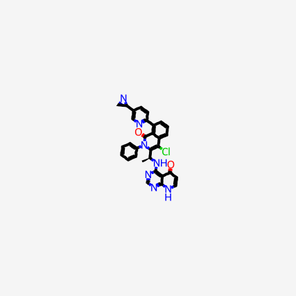 C[C@H](Nc1ncnc2[nH]ccc(=O)c12)c1c(Cl)c2cccc(-c3ccc(C4C=N4)cn3)c2c(=O)n1-c1ccccc1